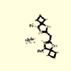 CC(C)[C@H]1N=C(CC2=N[C@H](C(C)C)C3(CCC3)O2)OC12CCC2.[Br-].[Br-].[Pd+2]